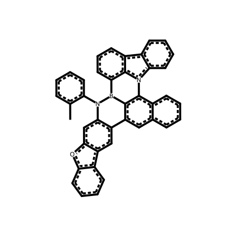 Cc1ccccc1N1B2c3c(cc4ccccc4c3-n3c4ccccc4c4cccc2c43)-c2cc3c(cc21)oc1ccccc13